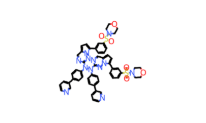 O=S(=O)(c1cccc(-c2ccc3cnc(N(c4ccc(-c5cccnc5)cc4)N(c4ccc(-c5cccnc5)cc4)c4ncc5ccc(-c6cccc(S(=O)(=O)N7CCOCC7)c6)n5n4)nn23)c1)N1CCOCC1